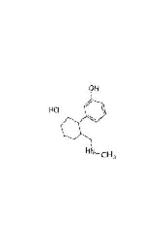 CNCC1CCCCC1c1cccc(O)c1.Cl